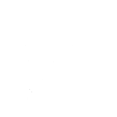 CCNCc1cccc(-c2ccccc2)c1